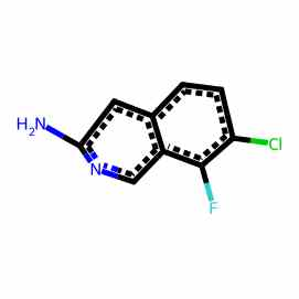 Nc1cc2ccc(Cl)c(F)c2cn1